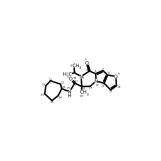 CC(C)N1C(=O)c2cc3occc3n2CC1(C)C(=O)NC1CCCCCC1